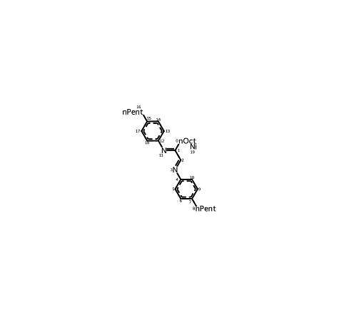 CCCCCCCCC(C=Nc1ccc(CCCCC)cc1)=Nc1ccc(CCCCC)cc1.[Ni]